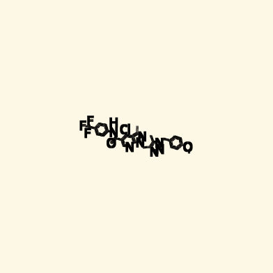 COc1ccc(Cn2nnc(Cn3nc(C)c4c(Cl)c(C(=O)Nc5ccc(C(F)(F)F)cc5)cnc43)c2C)cc1